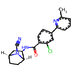 Cc1cccc(-c2ccc(C(=O)N[C@@H]3C[C@@H]4CC[C@H]3N4C#N)c(Cl)c2)n1